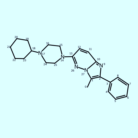 Cc1c(-c2ccccc2)nc2ccc(N3CCN(C4CCCCC4)CC3)nn12